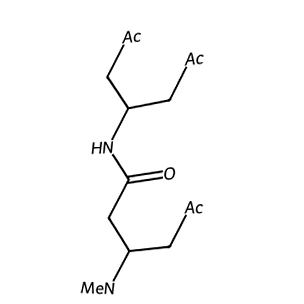 CNC(CC(C)=O)CC(=O)NC(CC(C)=O)CC(C)=O